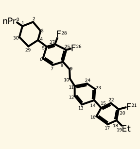 CCCC1CCC(c2ccc(CCc3ccc(-c4ccc(CC)c(F)c4)cc3)c(F)c2F)CC1